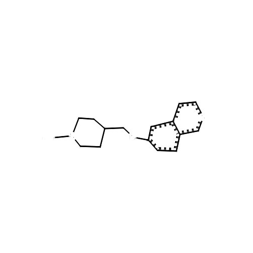 CCCCN1CCC(CNc2ccc3cnccc3c2)CC1